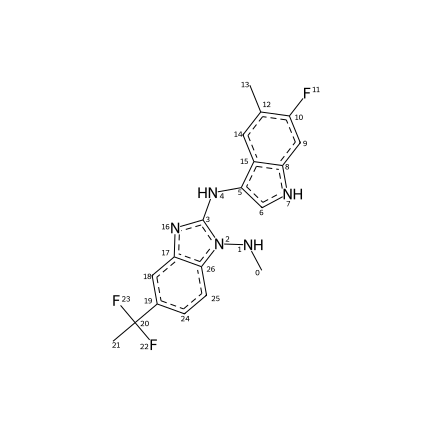 CNn1c(Nc2c[nH]c3cc(F)c(C)cc23)nc2cc(C(C)(F)F)ccc21